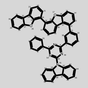 c1ccc(-c2nc(-c3cccc(-c4cccc5oc6c(-c7cccc8c7oc7ccccc78)cccc6c45)c3)nc(-n3c4ccccc4c4ccccc43)n2)cc1